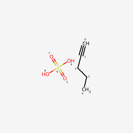 C#CCCC.O=S(=O)(O)O